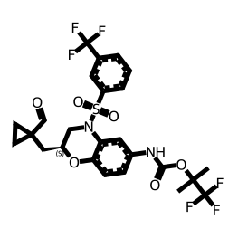 CC(C)(OC(=O)Nc1ccc2c(c1)N(S(=O)(=O)c1cccc(C(F)(F)F)c1)C[C@H](CC1(C=O)CC1)O2)C(F)(F)F